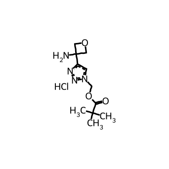 CC(C)(C)C(=O)OCn1cc(C2(N)COC2)nn1.Cl